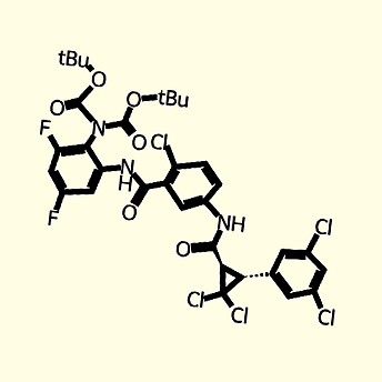 CC(C)(C)OC(=O)N(C(=O)OC(C)(C)C)c1c(F)cc(F)cc1NC(=O)c1cc(NC(=O)[C@H]2[C@H](c3cc(Cl)cc(Cl)c3)C2(Cl)Cl)ccc1Cl